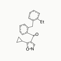 CCc1ccccc1Cc1ccccc1C(=O)c1cnoc1C1CC1